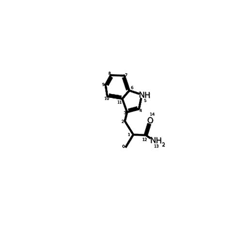 CC(Cc1c[nH]c2ccccc12)C(N)=O